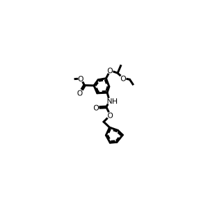 CCOC(C)Oc1cc(NC(=O)OCc2ccccc2)cc(C(=O)OC)c1